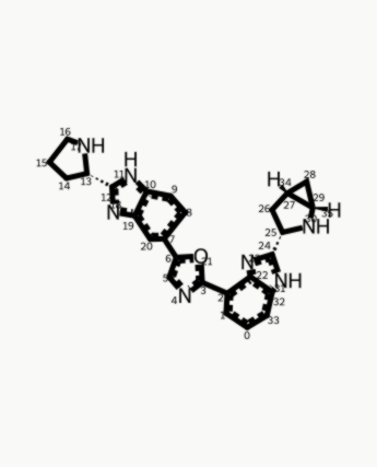 c1cc(-c2ncc(-c3ccc4[nH]c([C@@H]5CCCN5)nc4c3)o2)c2nc([C@@H]3C[C@@H]4C[C@@H]4N3)[nH]c2c1